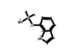 CC(C)(C)[Si](C)(C)Oc1cccc2cc[nH]c12